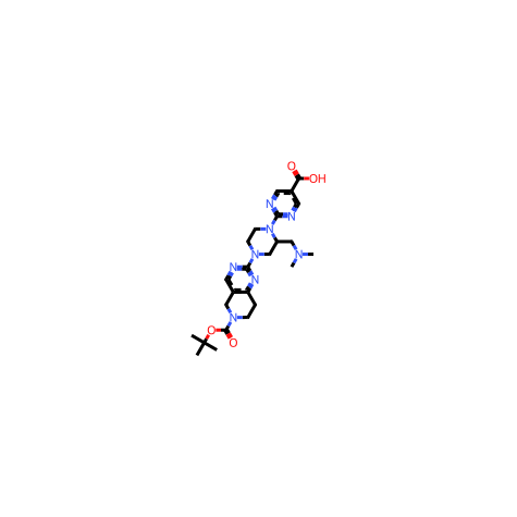 CN(C)CC1CN(c2ncc3c(n2)CCN(C(=O)OC(C)(C)C)C3)CCN1c1ncc(C(=O)O)cn1